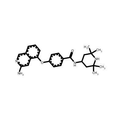 CC1(C)CC(NC(=O)c2ccc(Oc3cccc4cnc(N)cc34)cc2)CC(C)(C)N1